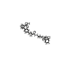 O=C(CCCCNCS(=O)(=O)c1ccccc1Cl)CNCc1ccc(C2=NCCN2C(=O)O)cc1